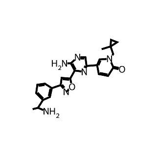 CC(N)c1cccc(-c2cc(-c3nc(-c4ccc(=O)n(CC5(C)CC5)c4)cnc3N)on2)c1